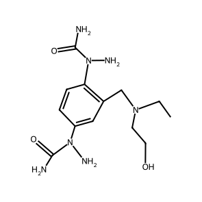 CCN(CCO)Cc1cc(N(N)C(N)=O)ccc1N(N)C(N)=O